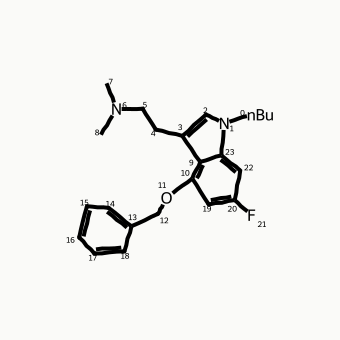 CCCCn1cc(CCN(C)C)c2c(OCc3ccccc3)cc(F)cc21